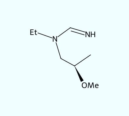 CCN(C=N)C[C@@H](C)OC